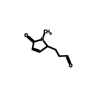 CN1C(=O)C=CC1CCC=O